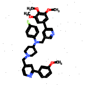 COc1cccc(-c2cc(CN3CCC(N(Cc4cncc(-c5cc(OC)c(OC)c(OC)c5)c4)c4ccc(F)cc4)CC3)ccn2)c1